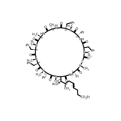 CCOC(=O)CC/C=C/C[C@@H](C)[C@@H](OC(C)=O)C1C(=O)N[C@@H](CC)C(=O)N(C)CC(=O)N(C)C(CC(C)C)C(=O)N[C@@H](C(C)C)C(=O)N(C)[C@H](CC(C)C)C(=O)N[C@@H](C)C(=O)N[C@H](C)C(=O)N(C)[C@H](CC(C)C)C(=O)N(C)[C@H](CC(C)C)C(=O)N(C)[C@@H](C(C)C)C(=O)N1C